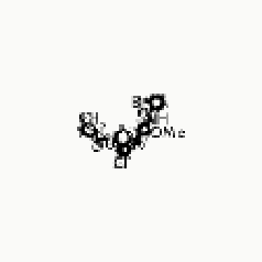 COc1cc(C(=O)N2CCCC(OCC(=O)N3CCCN(C)CC3)c3cc(Cl)ccc32)ccc1NC(=O)c1ccccc1Br